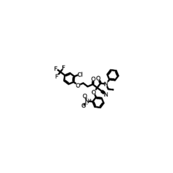 CCN(C(=O)C(C#N)(Oc1ccccc1[N+](=O)[O-])C(=O)CCOc1ccc(C(F)(F)F)cc1Cl)c1ccccc1